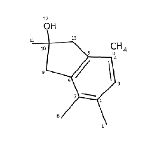 C.Cc1ccc2c(c1C)CC(C)(O)C2